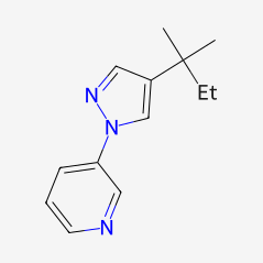 CCC(C)(C)c1cnn(-c2cccnc2)c1